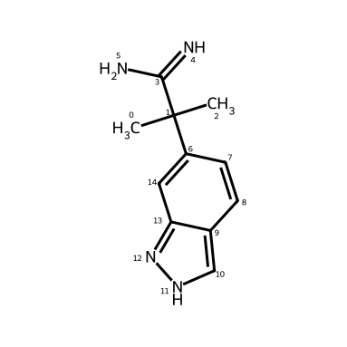 CC(C)(C(=N)N)c1ccc2c[nH]nc2c1